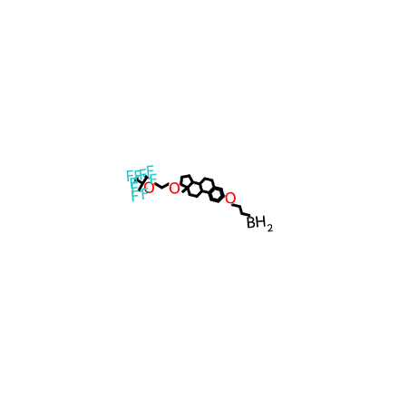 BCCCCOc1ccc2c(c1)CCC1C2CCC2(C)C(OCCCOC(C(F)(F)F)(C(F)(F)F)C(F)(F)F)CCC12